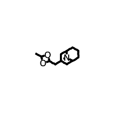 CC1OC(CC2CC3CCCC(C2)N3C)O1